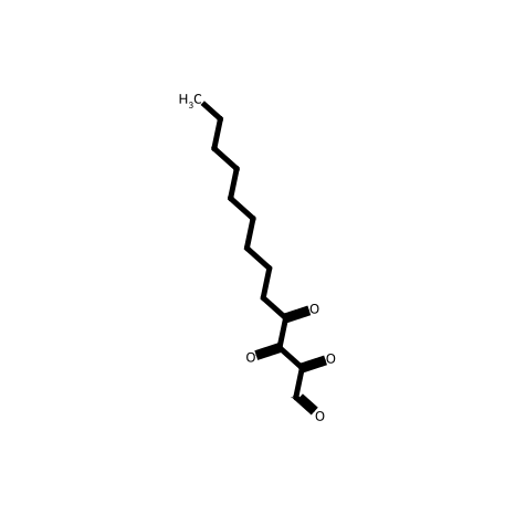 CCCCCCCCCC(=O)C(=O)C(=O)[C]=O